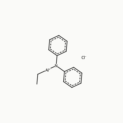 C[CH2][Al+][N](c1ccccc1)c1ccccc1.[Cl-]